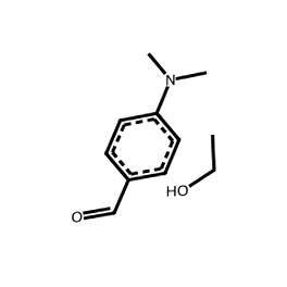 CCO.CN(C)c1ccc(C=O)cc1